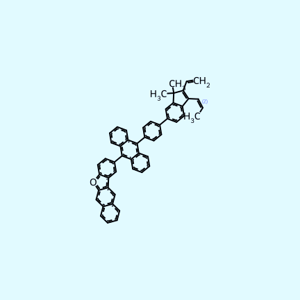 C=CC1=C(/C=C\C)c2ccc(-c3ccc(-c4c5ccccc5c(-c5ccc6oc7cc8ccccc8cc7c6c5)c5ccccc45)cc3)cc2C1(C)C